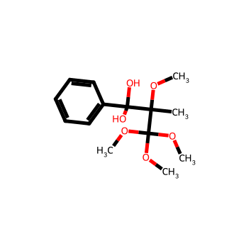 COC(OC)(OC)C(C)(OC)C(O)(O)c1ccccc1